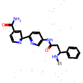 CCNC(CC(=O)Nc1ccc(-c2cc(C(N)=O)ccn2)nc1)c1ccccc1